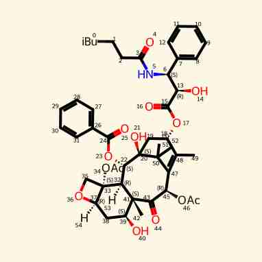 CCC(C)CCC(=O)N[C@@H](c1ccccc1)[C@@H](O)C(=O)O[C@H]1C[C@@]2(O)[C@@H](OC(=O)c3ccccc3)[C@@H]3[C@]4(OC(C)=O)CO[C@@H]4C[C@H](O)[C@@]3(C)C(=O)[C@H](OC(C)=O)C(=C1C)C2(C)C